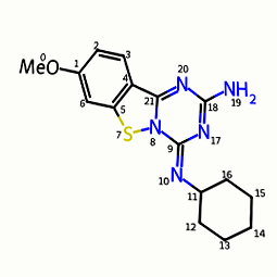 COc1ccc2c(c1)sn1c(=NC3CCCCC3)nc(N)nc21